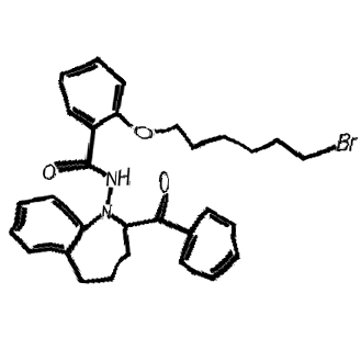 O=C(NN1c2ccccc2CCCC1C(=O)c1ccccc1)c1ccccc1OCCCCCCBr